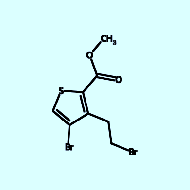 COC(=O)c1scc(Br)c1CCBr